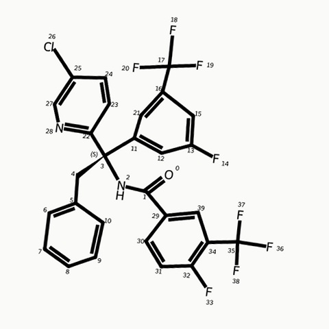 O=C(N[C@@](Cc1ccccc1)(c1cc(F)cc(C(F)(F)F)c1)c1ccc(Cl)cn1)c1ccc(F)c(C(F)(F)F)c1